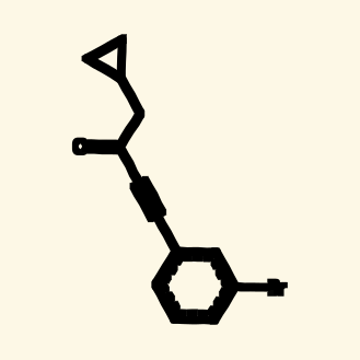 O=C(C#Cc1cccc(Br)c1)CC1CC1